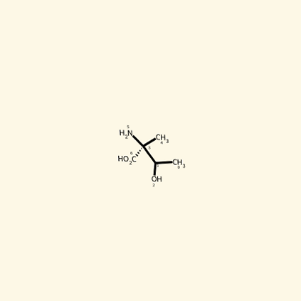 CC(O)[C@](C)(N)C(=O)O